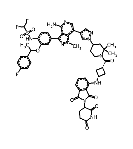 CC(Oc1cc(-c2nn(C)c3c(-c4cnn(C5CCN(C(=O)[C@H]6C[C@H](Nc7cccc8c7C(=O)N(C7CCC(=O)NC7=O)C8=O)C6)C(C)(C)C5)c4)cnc(N)c23)ccc1NS(=O)(=O)C(F)F)c1ccc(F)cc1